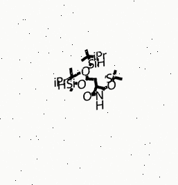 CC(C)C(C)(C)[SiH](C)OC(CC1C(=O)NC1O[Si](C)(C)C)O[SiH](C)C(C)(C)C(C)C